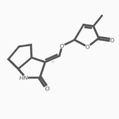 CC1=CC(O/C=C2/C(=O)NC3CCCC23)OC1=O